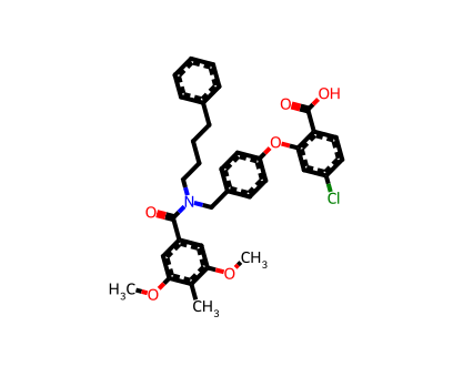 COc1cc(C(=O)N(CCCCc2ccccc2)Cc2ccc(Oc3cc(Cl)ccc3C(=O)O)cc2)cc(OC)c1C